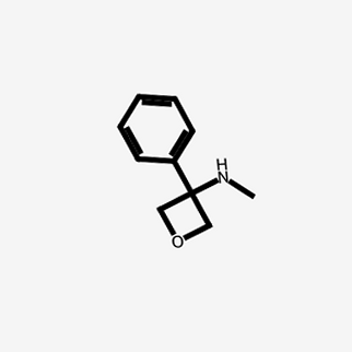 CNC1(c2ccccc2)COC1